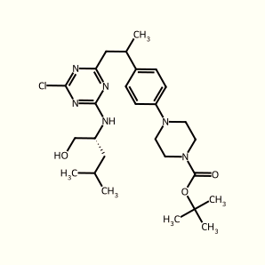 CC(C)C[C@H](CO)Nc1nc(Cl)nc(CC(C)c2ccc(N3CCN(C(=O)OC(C)(C)C)CC3)cc2)n1